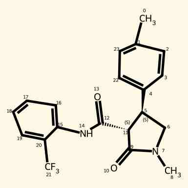 Cc1ccc([C@H]2CN(C)C(=O)[C@@H]2C(=O)Nc2ccccc2C(F)(F)F)cc1